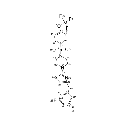 O=S(=O)(c1ccc(OC(F)(F)F)cc1)N1CCN(c2nc(Cc3cc(F)cc(F)c3)cs2)CC1